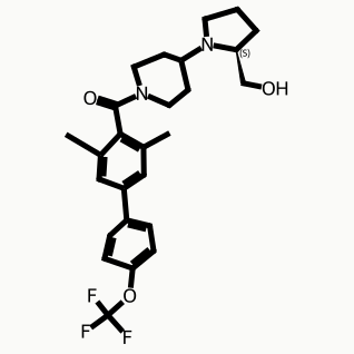 Cc1cc(-c2ccc(OC(F)(F)F)cc2)cc(C)c1C(=O)N1CCC(N2CCC[C@H]2CO)CC1